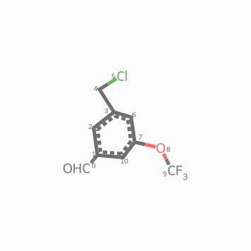 O=Cc1cc(CCl)cc(OC(F)(F)F)c1